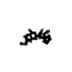 CSc1ncc2c(n1)NC(C(=O)NC1(CO)C=CC=C1)CC2=O